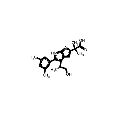 Cc1cc(C)cc(-c2[nH]c3sc(C(C)(C)C(=O)O)cc3c2[C@H](C)CO)c1